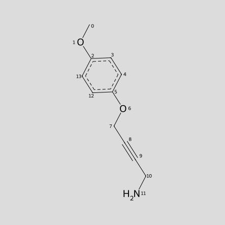 COc1ccc(OCC#CCN)cc1